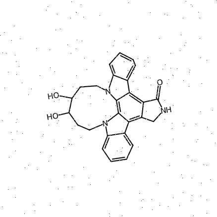 O=C1NCc2c1c1c3ccccc3n3c1c1c2c2ccccc2n1CCC(O)C(O)CC3